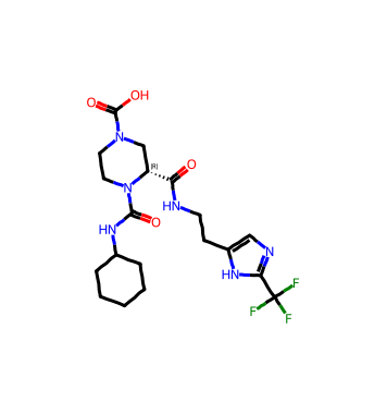 O=C(NCCc1cnc(C(F)(F)F)[nH]1)[C@H]1CN(C(=O)O)CCN1C(=O)NC1CCCCC1